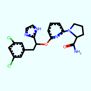 NC(=O)C1CCCN1c1cccc(OC(Cc2cc(Cl)cc(Cl)c2)c2ncc[nH]2)n1